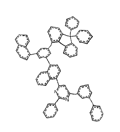 c1ccc(-c2cccc(-c3cc(-c4ccc(-c5cc(-c6cccc7c6-c6ccccc6C7(c6ccccc6)c6ccccc6)cc(-c6cccc7ccccc67)c5)c5ccccc45)nc(-c4ccccc4)n3)c2)cc1